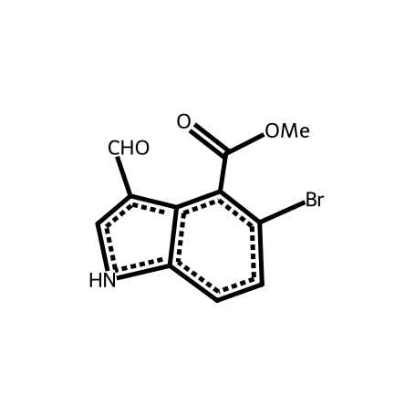 COC(=O)c1c(Br)ccc2[nH]cc(C=O)c12